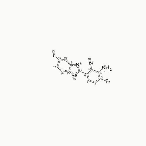 Nc1c(F)ccc(-c2nc3cc(F)ccc3[se]2)c1Br